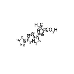 Cc1nc(N2CCN(CC(=O)N3CCCC3)C2=O)sc1C(=O)O